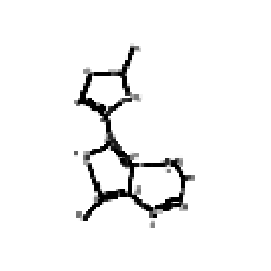 Cc1sc(C2=CCC(C)S2)c2c1N=CCN2